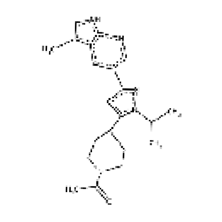 CC(=O)N1CCC(c2cc(-c3cnc4[nH]cc(C)c4c3)nn2C(C)C)CC1